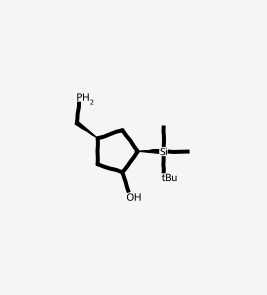 CC(C)(C)[Si](C)(C)[C@@H]1C[C@H](CP)CC1O